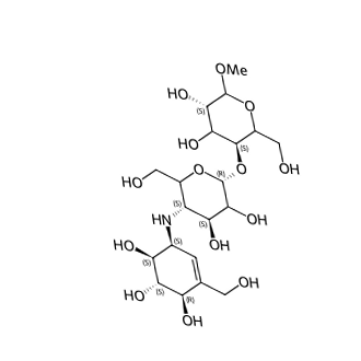 COC1OC(CO)[C@@H](O[C@H]2OC(CO)[C@@H](N[C@H]3C=C(CO)[C@@H](O)[C@H](O)[C@H]3O)[C@H](O)C2O)C(O)[C@@H]1O